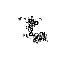 CCCCCC(C(=O)NCNC(=O)c1ccc(-c2cc(OCC)cc(C(=O)NC(CO)(CO[Si](C)(C)C(C)(C)C)CO[Si](C)(C)C(C)(C)C)c2)o1)C(CC)N(C=O)OCc1ccccc1